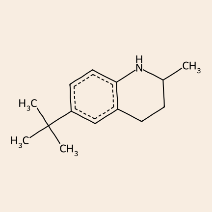 CC1CCc2cc(C(C)(C)C)ccc2N1